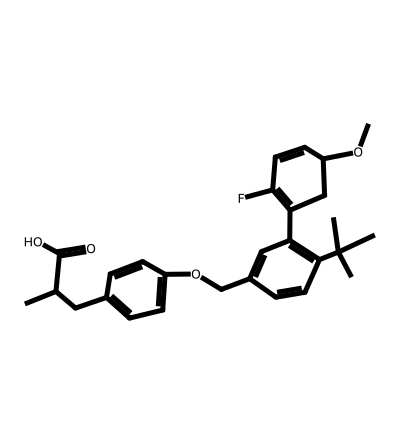 COC1C=CC(F)=C(c2cc(COc3ccc(CC(C)C(=O)O)cc3)ccc2C(C)(C)C)C1